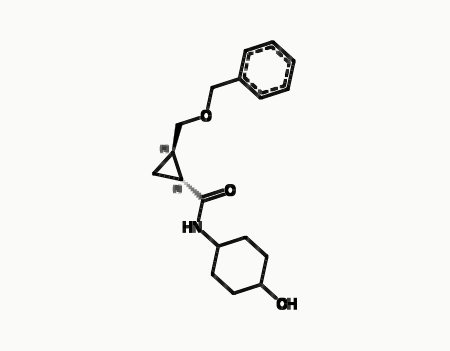 O=C(NC1CCC(O)CC1)[C@@H]1C[C@H]1COCc1ccccc1